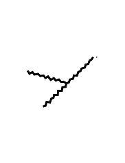 [CH2]CCCCCCCCCCCCCC(CCCCCCCCCCCC)CCCCCCCCCCCCCCC